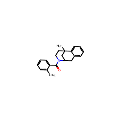 CC(=O)Oc1ccccc1C(=O)N1CCC2(C)CC1Cc1ccccc12